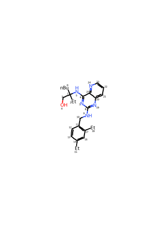 CCCCC(CC)(CO)Nc1nc(NCc2ccc(CC)cc2CC)nc2cccnc12